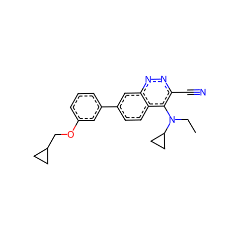 CCN(c1c(C#N)nnc2cc(-c3cccc(OCC4CC4)c3)ccc12)C1CC1